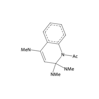 CNC1=CC(NC)(NC)N(C(C)=O)c2ccccc21